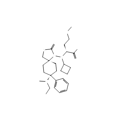 CCN(C)[C@]1(c2ccccc2)CC[C@@]2(CC1)CNC(=O)N2N(C1CCC1)[C@@H](CCSC)C(=O)O